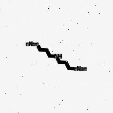 CCCCCCCCCCCCNCCCCCCCCCCCC